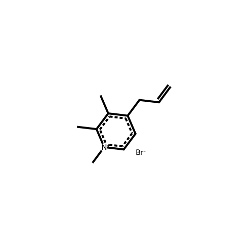 C=CCc1cc[n+](C)c(C)c1C.[Br-]